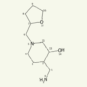 NCC1CCN(CC2CCCO2)CC1O